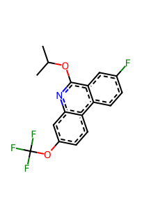 CC(C)Oc1nc2cc(OC(F)(F)F)ccc2c2ccc(F)cc12